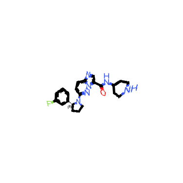 O=C(NC1CCNCC1)c1cnc2ccc(N3CCC[C@@H]3c3cccc(F)c3)nn12